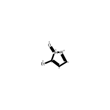 CCC1=C[CH]=[Al][IH]1=O